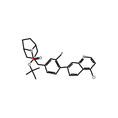 CC(C)(C)OC(=O)N1C2CCC1CN(Cc1ccc(-c3ccc4c(Cl)ccnc4c3)c(F)c1)C2